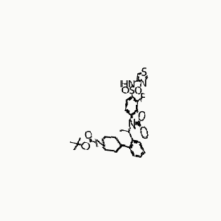 C[C@H](c1ccccc1C1CCN(C(=O)OC(C)(C)C)CC1)n1c(=O)oc2c(F)c(S(=O)(=O)Nc3cscn3)ccc21